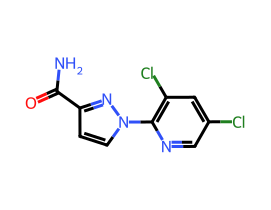 NC(=O)c1ccn(-c2ncc(Cl)cc2Cl)n1